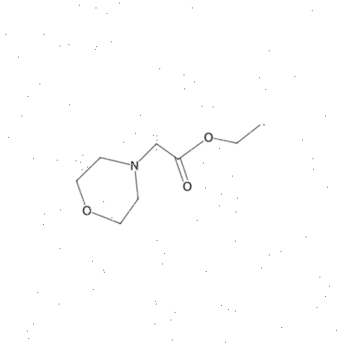 [CH2]COC(=O)CN1CCOCC1